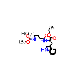 CC(C)CCOC(=O)[C@@H](Cc1c[nH]c2ccccc12)NC(=O)CC[C@@H](NC(=O)OC(C)(C)C)C(=O)O